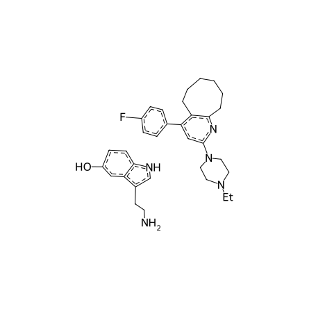 CCN1CCN(c2cc(-c3ccc(F)cc3)c3c(n2)CCCCCC3)CC1.NCCc1c[nH]c2ccc(O)cc12